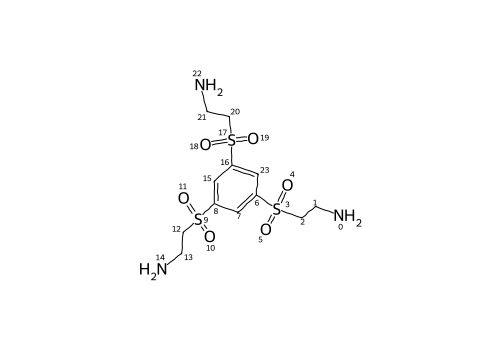 NCCS(=O)(=O)c1cc(S(=O)(=O)CCN)cc(S(=O)(=O)CCN)c1